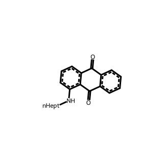 CCCCCCCNc1cccc2c1C(=O)c1ccccc1C2=O